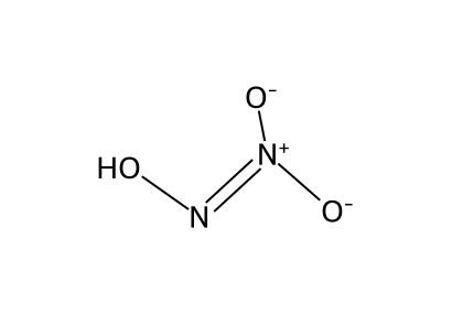 [O-][N+]([O-])=NO